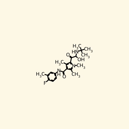 Cc1cc(NC(=O)c2c(C)c(C(=O)C(O)NC(C)(C)C)n(C)c2C)ccc1F